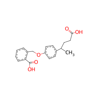 CC(CCC(=O)O)c1ccc(OCc2ccccc2C(=O)O)cc1